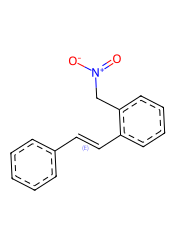 O=[N+]([O-])Cc1ccccc1/C=C/c1ccccc1